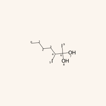 CCCCC(I)C(O)(O)I